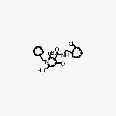 CCCCc1c(C(=O)NCc2ccccc2Cl)c(=O)cc(C)n1Cc1ccccc1